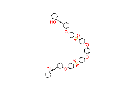 O=S(=O)(c1ccc(Oc2ccc(Oc3ccc(S(=O)(=O)c4ccc(Oc5cccc(C#CC6(O)CCCCC6)c5)cc4)cc3)cc2)cc1)c1ccc(Oc2cccc(C#CC3(O)CCCCC3)c2)cc1